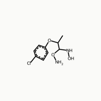 CC(Oc1ccc(Cl)cc1)C(NO)ON